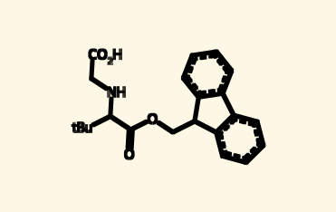 CC(C)(C)C(NCC(=O)O)C(=O)OCC1c2ccccc2-c2ccccc21